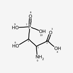 NC(C(=O)O)C(O)P(=O)(O)O